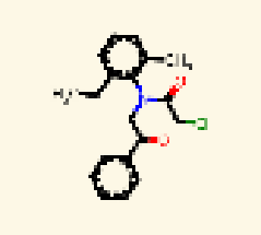 CCc1cccc(C)c1N(CC(=O)c1ccccc1)C(=O)CCl